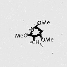 COc1cc(OC)c(C)c(OC)n1